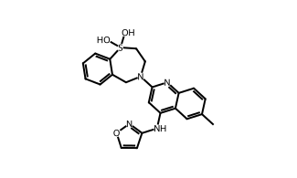 Cc1ccc2nc(N3CCS(O)(O)c4ccccc4C3)cc(Nc3ccon3)c2c1